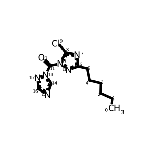 CCCCCCc1nc(Cl)n(C(=O)n2cncn2)n1